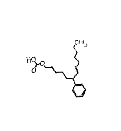 CCCCCCCC(CCCCCOC(=O)O)c1ccccc1